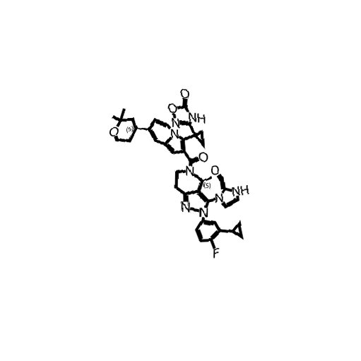 C[C@H]1c2c(nn(-c3ccc(F)c(C4CC4)c3)c2N2C=CNC2=C=O)CCN1C(=O)c1cc2cc([C@H]3CCOC(C)(C)C3)ccn2c1C1(c2noc(=O)[nH]2)CC1